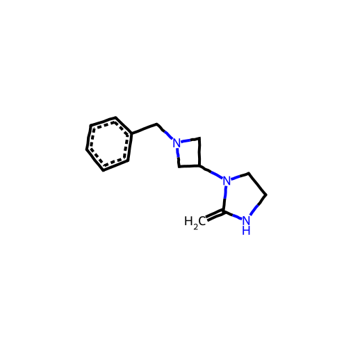 C=C1NCCN1C1CN(Cc2ccccc2)C1